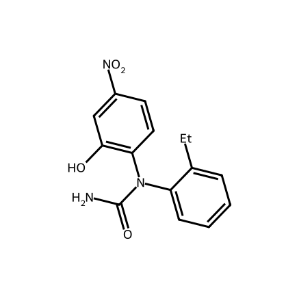 CCc1ccccc1N(C(N)=O)c1ccc([N+](=O)[O-])cc1O